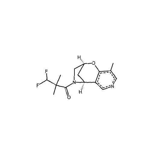 Cc1cncc2c1O[C@H]1C[C@@H]2N(C(=O)C(C)(C)C(F)F)C1